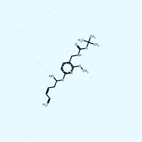 C=C/C=C\CC(O)Oc1ccc(CNC(=O)OC(C)(C)C)c(OC)n1